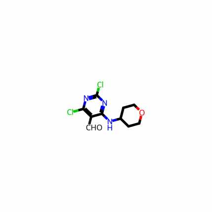 O=Cc1c(Cl)nc(Cl)nc1NC1CCOCC1